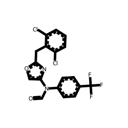 O=CN(c1ccc(C(F)(F)F)cc1)c1coc(Cc2c(Cl)cccc2Cl)n1